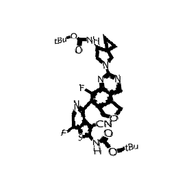 CC(C)(C)OC(=O)Nc1sc2c(F)cnc(-c3c4c(c5cnc(N6C[C@H](NC(=O)OC(C)(C)C)C7(CC7)C6)nc5c3F)COC4)c2c1C#N